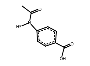 CC(=O)N(S)c1ccc(C(=O)O)cc1